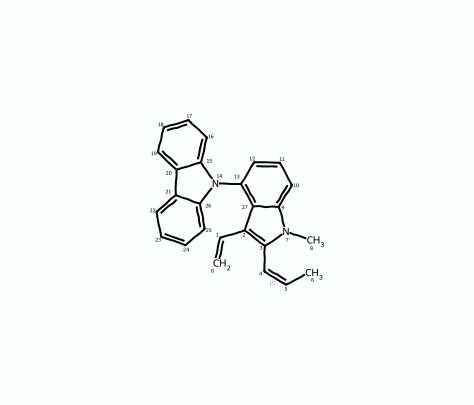 C=Cc1c(/C=C\C)n(C)c2cccc(-n3c4ccccc4c4ccccc43)c12